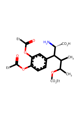 CCOC(=O)OC(C)C(C)C(c1ccc(OC(=O)CC)c(OC(=O)CC)c1)[C@H](N)C(=O)O